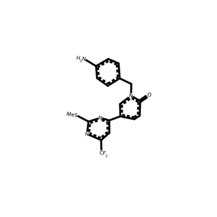 CSc1nc(-c2ccc(=O)n(Cc3ccc(N)cc3)c2)cc(C(F)(F)F)n1